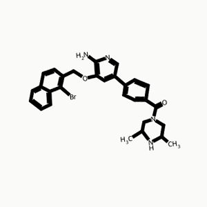 CC1CN(C(=O)c2ccc(-c3cnc(N)c(OCc4ccc5ccccc5c4Br)c3)cc2)CC(C)N1